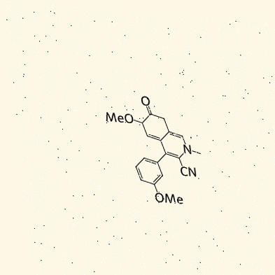 COc1cccc(C2=C(C#N)N(C)C=C3CC(=O)C(OC)C=C32)c1